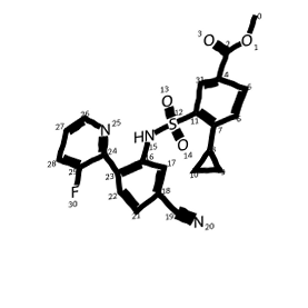 COC(=O)c1ccc(C2CC2)c(S(=O)(=O)Nc2cc(C#N)ccc2-c2ncccc2F)c1